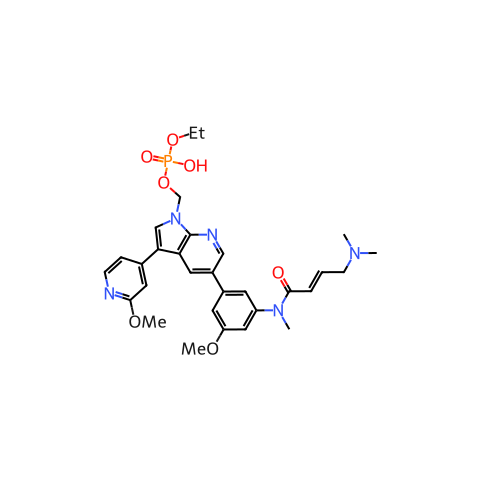 CCOP(=O)(O)OCn1cc(-c2ccnc(OC)c2)c2cc(-c3cc(OC)cc(N(C)C(=O)/C=C/CN(C)C)c3)cnc21